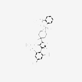 CC1(c2onc(-c3c(Cl)cc(Cl)cc3Cl)c2C(=O)O)CCN(S(=O)(=O)c2ccccc2[N+](=O)[O-])CC1